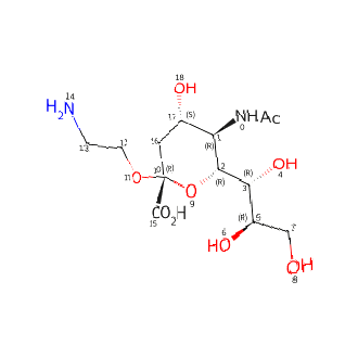 CC(=O)N[C@H]1[C@H]([C@H](O)[C@H](O)CO)O[C@@](OCCN)(C(=O)O)C[C@@H]1O